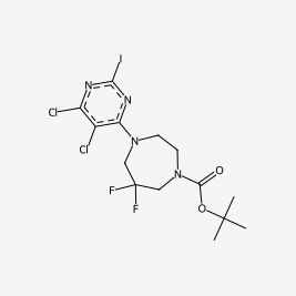 CC(C)(C)OC(=O)N1CCN(c2nc(I)nc(Cl)c2Cl)CC(F)(F)C1